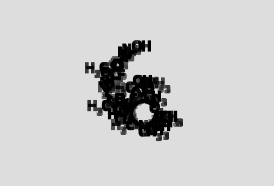 CC[C@H]1OC(=O)[C@H](C)C([C@H]2C[C@@](C)(OC)[C@@H](O)[C@H](C)O2)[C@H](C)[C@@H](O[C@@H]2O[C@H](C)C[C@H](N(C)CCc3cn([C@H](CF)[C@H](OC)c4ccc(-n5cc(CO)nn5)cc4)nn3)[C@H]2O)[C@](C)(O)C[C@@H](C)CN(C)[C@H](C)[C@@H](O)[C@]1(C)O